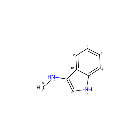 CNc1c[nH]c2ccccc12